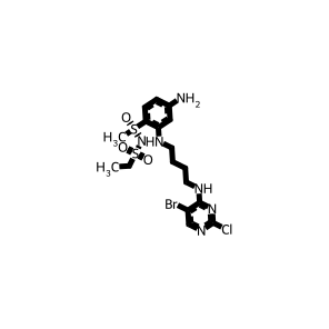 CCS(=O)(=O)N=S(C)(=O)c1ccc(N)cc1NCCCCNc1nc(Cl)ncc1Br